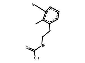 Cc1c(Br)cccc1CCNC(=O)O